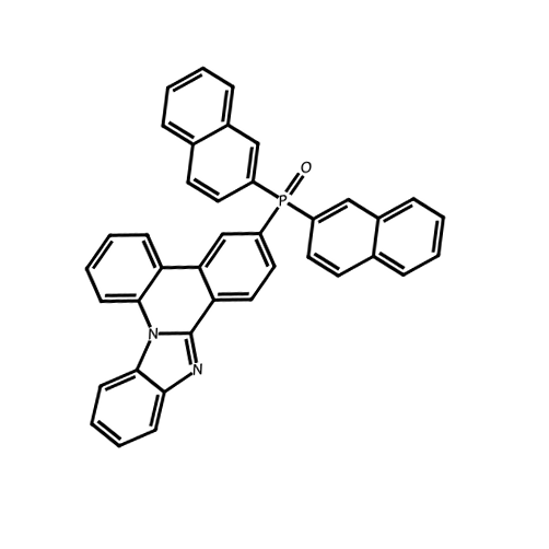 O=P(c1ccc2ccccc2c1)(c1ccc2ccccc2c1)c1ccc2c(c1)c1ccccc1n1c3ccccc3nc21